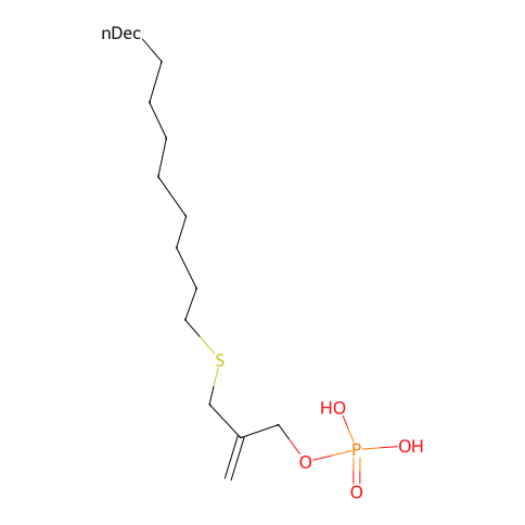 C=C(COP(=O)(O)O)CSCCCCCCCCCCCCCCCCCC